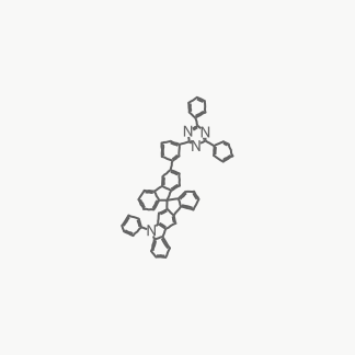 c1ccc(-c2nc(-c3ccccc3)nc(-c3cccc(-c4ccc5c(c4)-c4ccccc4C54c5ccccc5-c5cc6c7ccccc7n(-c7ccccc7)c6cc54)c3)n2)cc1